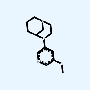 COc1cncc(N2CCN3CCCC2C3)c1